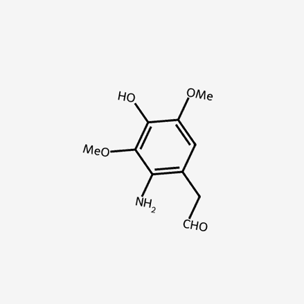 COc1cc(CC=O)c(N)c(OC)c1O